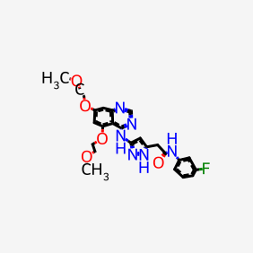 COCCOc1cc(OCCOC)c2c(Nc3cc(CC(=O)Nc4cccc(F)c4)[nH]n3)ncnc2c1